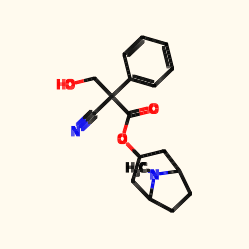 CN1C2CCC1CC(OC(=O)C(C#N)(CO)c1ccccc1)C2